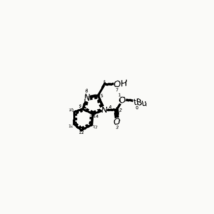 CC(C)(C)OC(=O)n1c(CO)nc2ccccc21